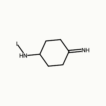 N=C1CCC(NI)CC1